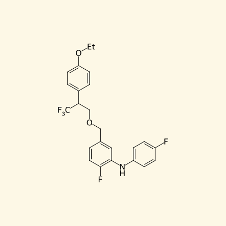 CCOc1ccc(C(COCc2ccc(F)c(Nc3ccc(F)cc3)c2)C(F)(F)F)cc1